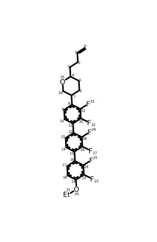 C=CCCC1CCC(c2ccc(-c3ccc(-c4ccc(OCC)c(F)c4F)c(F)c3F)c(F)c2F)CO1